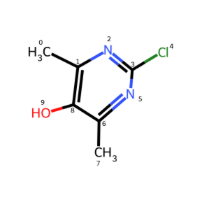 Cc1nc(Cl)nc(C)c1O